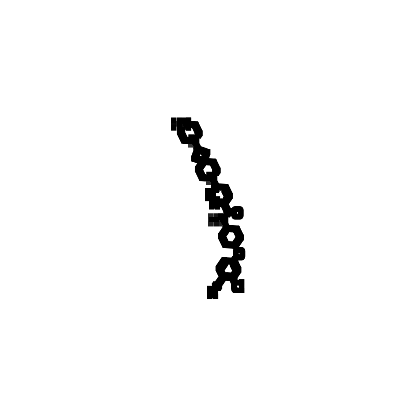 N#Cc1ccc(O[C@H]2CC[C@H](NC(=O)c3ccc(N4CCC5(CC4)CC(N4CCNCC4)C5)nn3)CC2)cc1Cl